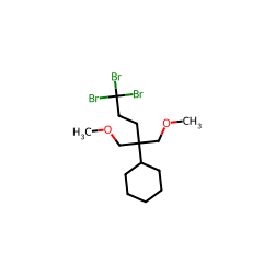 COCC(CCC(Br)(Br)Br)(COC)C1CCCCC1